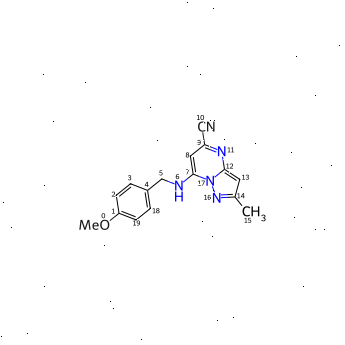 COc1ccc(CNc2cc(C#N)nc3cc(C)nn23)cc1